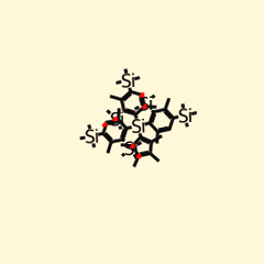 CC1=C(C)C(C)C([Si](c2c(C)cc([Si](C)(C)C)c(C)c2[Si](C)(C)C)(c2c(C)cc([Si](C)(C)C)c(C)c2[Si](C)(C)C)c2c(C)cc([Si](C)(C)C)c(C)c2[Si](C)(C)C)=C1C